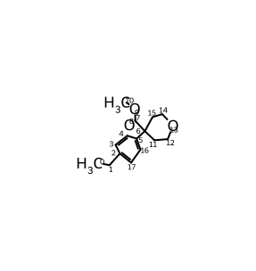 CCc1ccc(C2(C(=O)OC)CCOCC2)cc1